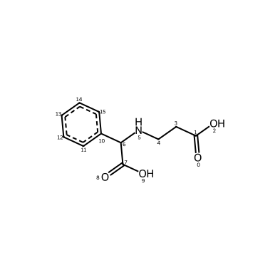 O=C(O)CCNC(C(=O)O)c1ccccc1